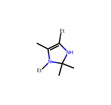 CCC1=C(C)N(CC)C(C)(C)N1